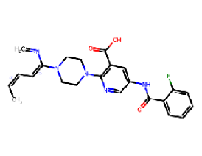 C=N/C(=C\C=C/C)N1CCN(c2ncc(NC(=O)c3ccccc3F)cc2C(=O)O)CC1